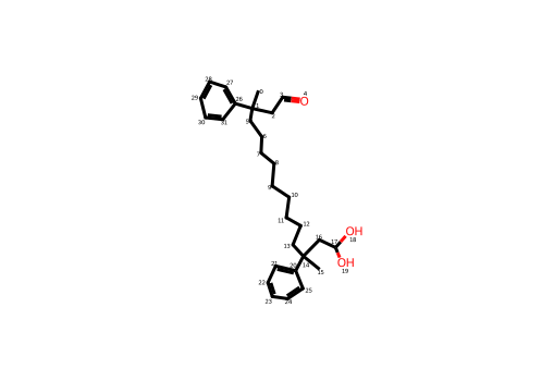 CC(CC=O)(CCCCCCCCCC(C)(CC(O)O)c1ccccc1)c1ccccc1